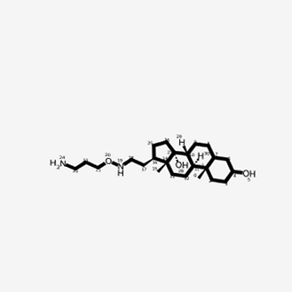 C[C@]12CCC(O)CC1CC[C@@H]1[C@@H]2CC[C@]2(C)[C@@H](CCNOCCCN)CC[C@@]12O